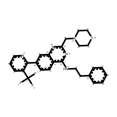 FC(F)(F)c1cccnc1-c1ccc2c(NCCc3ccccc3)nc(CN3CCSCC3)nc2c1